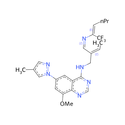 C\C=C(/C=N\C(=C\CCC)C(F)(F)F)CNc1ncnc2c(OC)cc(-n3cc(C)cn3)cc12